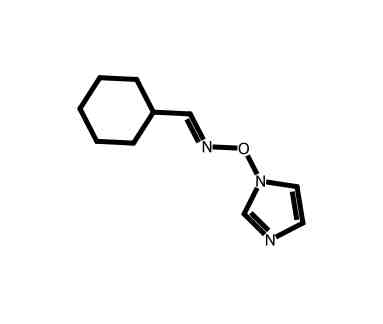 C(=NOn1ccnc1)C1CCCCC1